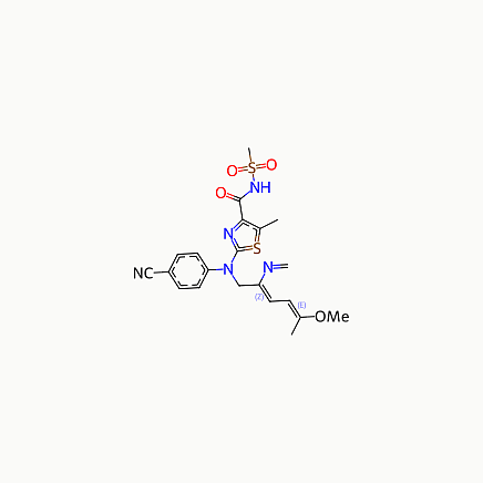 C=N/C(=C\C=C(/C)OC)CN(c1ccc(C#N)cc1)c1nc(C(=O)NS(C)(=O)=O)c(C)s1